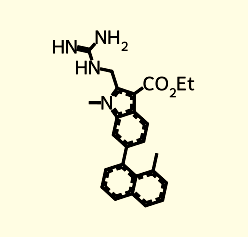 CCOC(=O)c1c(CNC(=N)N)n(C)c2cc(-c3cccc4cccc(C)c34)ccc12